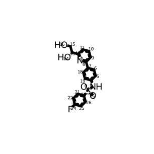 O=S(=O)(Nc1ccc(-c2cccc([C@H](O)CO)n2)cc1)c1ccc(F)cc1